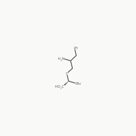 CC(C)CC(N)CS[C@H](C(=O)O)C(C)(C)C